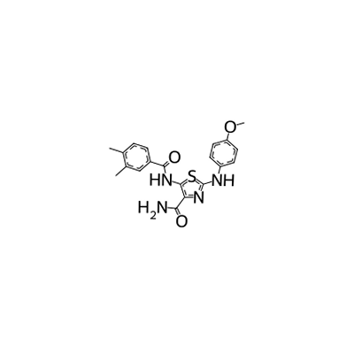 COc1ccc(Nc2nc(C(N)=O)c(NC(=O)c3ccc(C)c(C)c3)s2)cc1